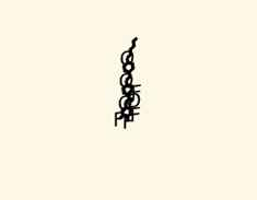 CCCCCOC1CCC(COc2ccc(C(=O)Oc3cc(F)c(F)c(F)c3)c(F)c2)CC1